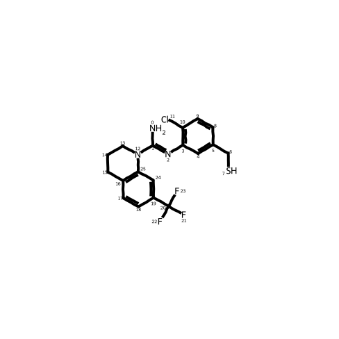 NC(=Nc1cc(CS)ccc1Cl)N1CCCc2ccc(C(F)(F)F)cc21